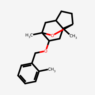 Cc1ccccc1COC1CC2(C)C3CCC2OC1(C)C3